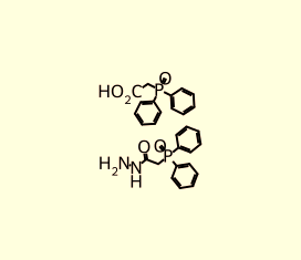 NNC(=O)CP(=O)(c1ccccc1)c1ccccc1.O=C(O)CP(=O)(c1ccccc1)c1ccccc1